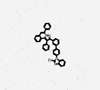 CCc1nc2ccccc2n1-c1ccc(-c2cccc(-c3nn4c(-c5ccccc5)cc5ccccc5c4c3-c3ccccc3)c2)cc1